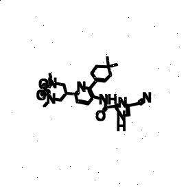 CN1CC(c2ccc(NC(=O)c3nc(C#N)c[nH]3)c(C3=CCC(C)(C)CC3)n2)CN(C)S1(=O)=O